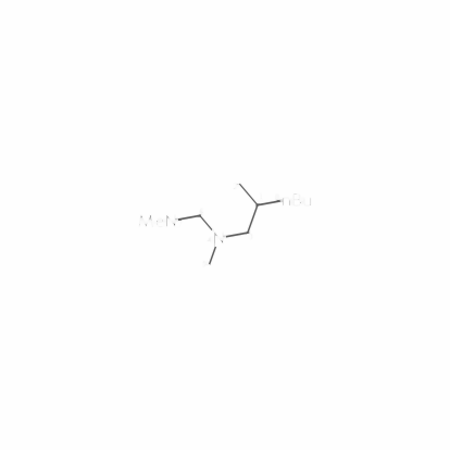 CCCCC(C)CN(C)CNC